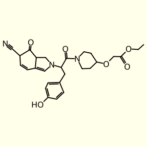 CCOC(=O)COC1CCN(C(=O)C(Cc2ccc(O)cc2)N2C=C3C=CC(C#N)C(=O)C3C2)CC1